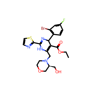 CCOC(=O)C1=C(CN2CCOC[C@@H]2CO)NC(c2nccs2)=NC1c1ccc(F)cc1Br